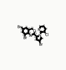 Clc1cccnc1-n1cc(Br)cc1C1=Nc2c(Br)cc(Br)cc2CO1